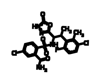 Cc1c(Cl)ccc(F)c1C(C)C(NS(=O)(=O)c1ccc(Cl)cc1C(N)=O)c1n[nH]c(=O)o1